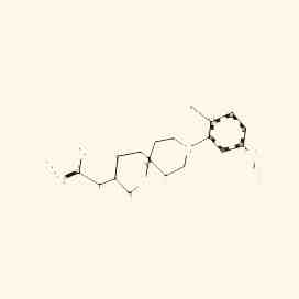 N/N=C(\N)CC1CCC2(CCN(c3cc(OC(F)(F)F)ccc3Cl)CC2)OC1